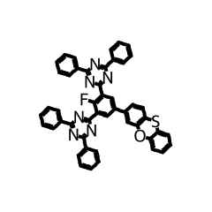 Fc1c(-c2nc(-c3ccccc3)nc(-c3ccccc3)n2)cc(-c2ccc3c(c2)Oc2ccccc2S3)cc1-c1nc(-c2ccccc2)nc(-c2ccccc2)n1